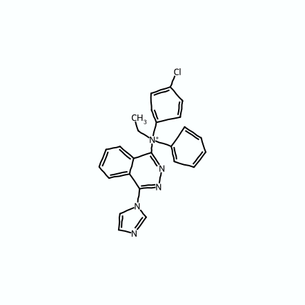 CC[N+](c1ccccc1)(c1ccc(Cl)cc1)c1nnc(-n2ccnc2)c2ccccc12